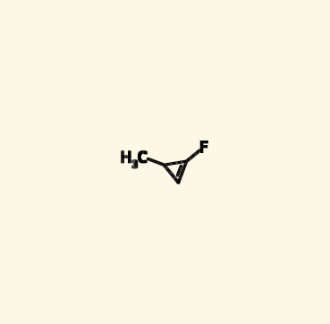 CC1C=C1F